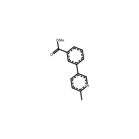 COC(=O)c1cccc(-c2ccc(C)nc2)c1